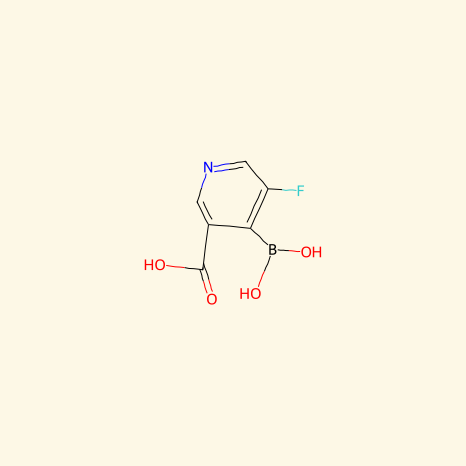 O=C(O)c1cncc(F)c1B(O)O